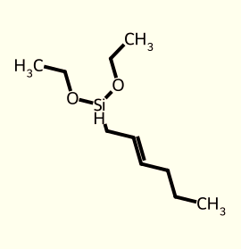 CCCC=CC[SiH](OCC)OCC